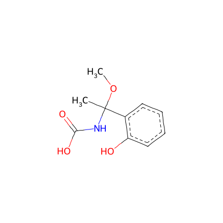 COC(C)(NC(=O)O)c1ccccc1O